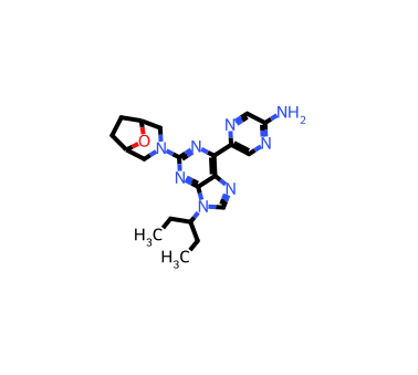 CCC(CC)n1cnc2c(-c3cnc(N)cn3)nc(N3CC4CCC(C3)O4)nc21